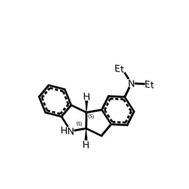 CCN(CC)c1ccc2c(c1)[C@H]1c3ccccc3N[C@H]1C2